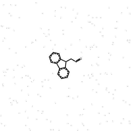 S=[C]CC1c2ccccc2-c2ccccc21